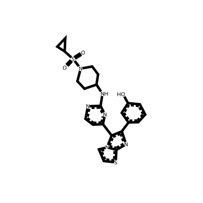 O=S(=O)(C1CC1)N1CCC(Nc2nccc(-c3c(-c4cccc(O)c4)nc4sccn34)n2)CC1